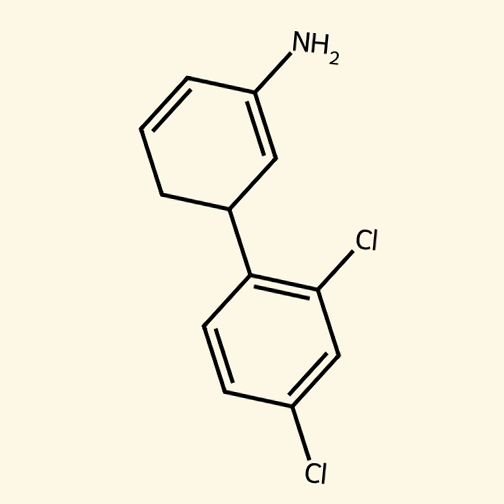 NC1=CC(c2ccc(Cl)cc2Cl)CC=C1